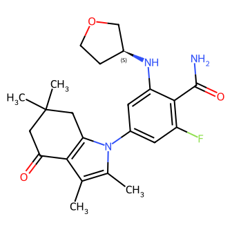 Cc1c2c(n(-c3cc(F)c(C(N)=O)c(N[C@H]4CCOC4)c3)c1C)CC(C)(C)CC2=O